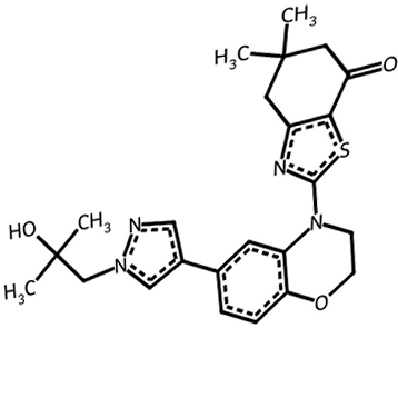 CC(C)(O)Cn1cc(-c2ccc3c(c2)N(c2nc4c(s2)C(=O)CC(C)(C)C4)CCO3)cn1